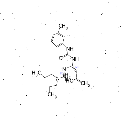 C=C(O)/C=C(\N=C(/N)N(CCC)CCC)NC(=O)Nc1cccc(C)c1